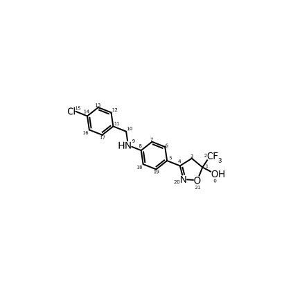 OC1(C(F)(F)F)CC(c2ccc(NCc3ccc(Cl)cc3)cc2)=NO1